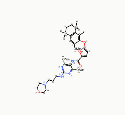 COc1cc2c(c(C)c1Oc1ccc(C(=O)Nc3c(OC)nc(NCCCN4CCOCC4)nc3OC)o1)[Si](C)(C)CC[Si]2(C)C